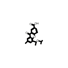 Cc1cc(C(C)OC(C)C)c2oc3ccc(C(=O)O)cc3c(=O)c2c1